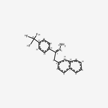 NN=C(Cc1ccc2ccccc2n1)c1ccc(C(F)(F)F)cc1